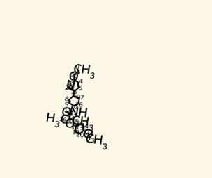 CCOc1ccc(-c2ccc(NC(=O)C(C)(C)Oc3ccc(OC)cc3)cc2)cn1